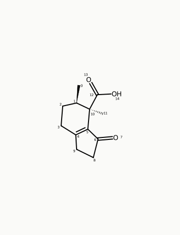 C[C@@H]1CCC2=C(C(=O)CC2)[C@]1(C)C(=O)O